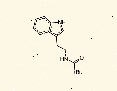 CC(C)(C)C(=O)NCCc1c[nH]c2ccccc12